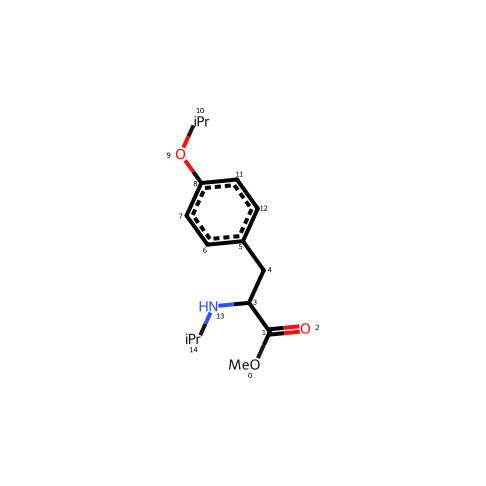 COC(=O)C(Cc1ccc(OC(C)C)cc1)NC(C)C